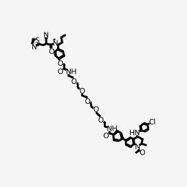 CCCC(c1ccc(OCC(=O)NCCOCCOCCOCCOCCOCCNC(=O)c2ccc(-c3ccc4c(c3)C(Nc3ccc(Cl)cc3)CC(C)N4C(C)=O)cc2)cc1)N(C)C(=O)C(C#N)Cc1nccs1